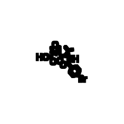 CC(C)[C@H](NC(=O)c1ccc(Br)cc1)C(=O)N1COC[C@H]1C(=O)O